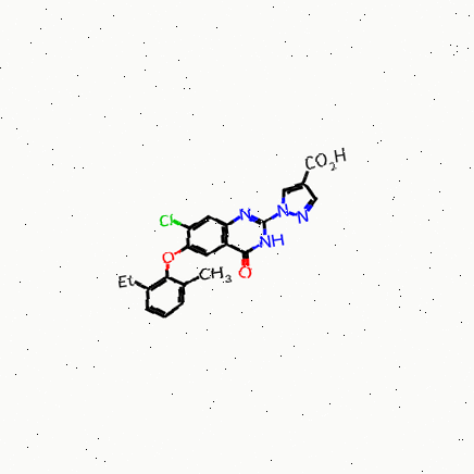 CCc1cccc(C)c1Oc1cc2c(=O)[nH]c(-n3cc(C(=O)O)cn3)nc2cc1Cl